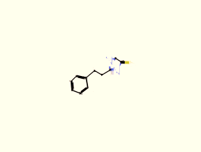 S=C1C=NC(CCc2ccccc2)=N1